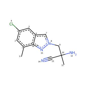 Cc1cc(Cl)cc2cn(CC(C)(N)C#N)nc12